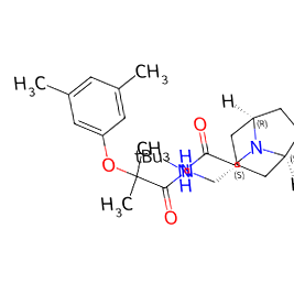 Cc1cc(C)cc(OC(C)(C)C(=O)NC[C@@H]2C[C@H]3CC[C@@H](C2)N3CC(=O)NC(C)(C)C)c1